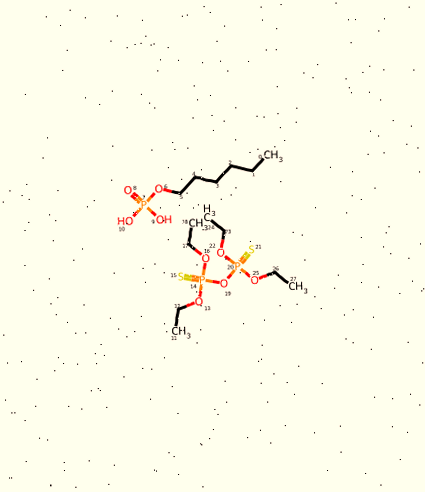 CCCCCCOP(=O)(O)O.CCOP(=S)(OCC)OP(=S)(OCC)OCC